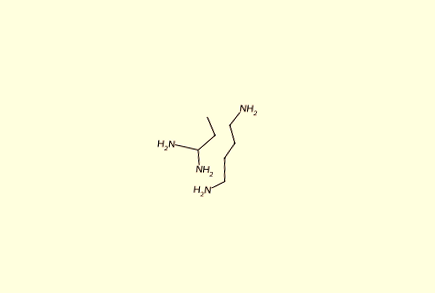 CCC(N)N.NCCCCN